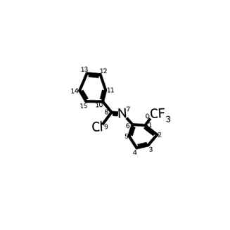 FC(F)(F)c1ccccc1N=C(Cl)c1ccccc1